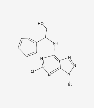 CCn1nnc2c(NC(CO)c3ccccc3)nc(Cl)nc21